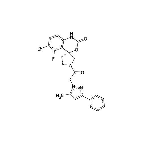 Nc1cc(-c2ccccc2)nn1CC(=O)N1CC[C@@]2(C1)OC(=O)Nc1ccc(Cl)c(F)c12